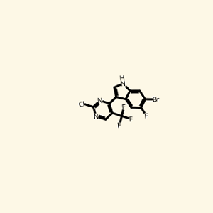 Fc1cc2c(-c3nc(Cl)ncc3C(F)(F)F)c[nH]c2cc1Br